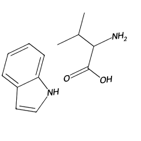 CC(C)C(N)C(=O)O.c1ccc2[nH]ccc2c1